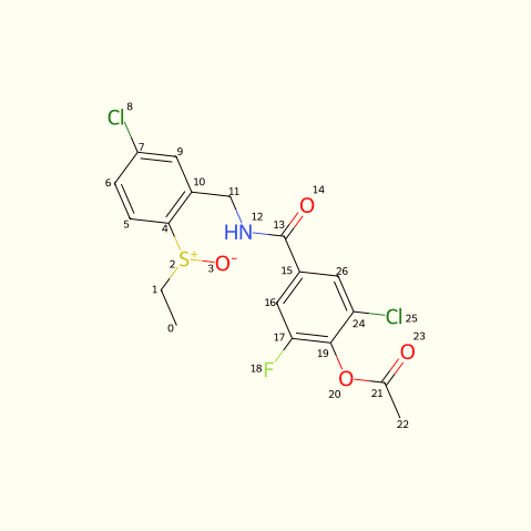 CC[S+]([O-])c1ccc(Cl)cc1CNC(=O)c1cc(F)c(OC(C)=O)c(Cl)c1